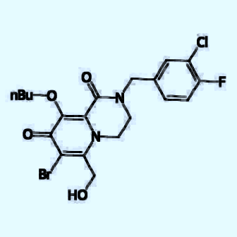 CCCCOc1c2n(c(CO)c(Br)c1=O)CCN(Cc1ccc(F)c(Cl)c1)C2=O